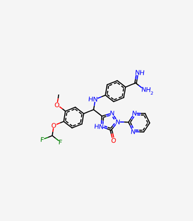 COc1cc(C(Nc2ccc(C(=N)N)cc2)c2nn(-c3ncccn3)c(=O)[nH]2)ccc1OC(F)F